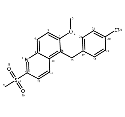 COc1ccc2nc(S(C)(=O)=O)ccc2c1Cc1ccc(Cl)cc1